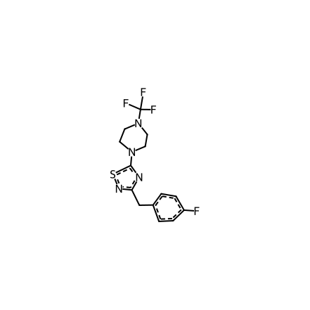 Fc1ccc(Cc2nsc(N3CCN(C(F)(F)F)CC3)n2)cc1